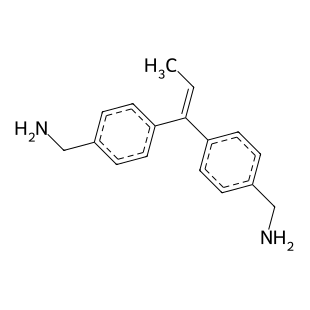 CC=C(c1ccc(CN)cc1)c1ccc(CN)cc1